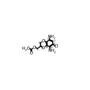 CC(=O)OCC1COc2c(N)cc(Cl)c(N)c2O1